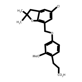 COc1cc(OCc2cc(Cl)cc3c2OC(C)(C)C3)ccc1CCC(=O)O